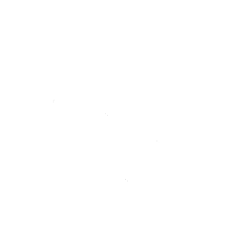 CCN(C(=C\c1cnc(C)s1)/C(O)=C(/Sc1ccc(-c2ccccc2C(=O)NC)cc1)C(=O)NC)c1ccccc1